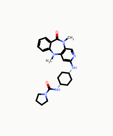 CN1C(=O)c2ccccc2N(C)c2cc(N[C@H]3CC[C@@H](NC(=O)N4CCCC4)CC3)ncc21